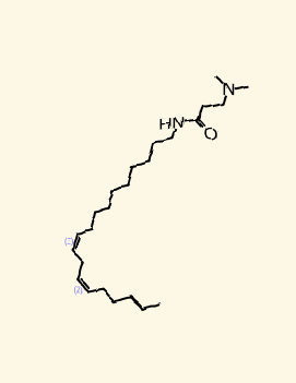 CCCCC/C=C\C/C=C\CCCCCCCCCNC(=O)CCN(C)C